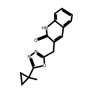 CC1(c2nnc(Cc3cc4ccccc4[nH]c3=O)o2)CC1